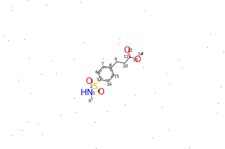 CNS(=O)(=O)c1ccc(CCC(=O)OC)cc1